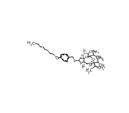 CCCCCCCCOc1ccc(CSC2C[C@@H]3O[Si](C(C)C)(C(C)C)O[Si](C(C)C)(C(C)C)OC[C@H]3S2)cc1